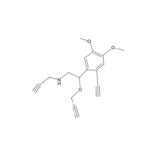 C#CCNCC(OCC#C)c1cc(OC)c(OC)cc1C#C